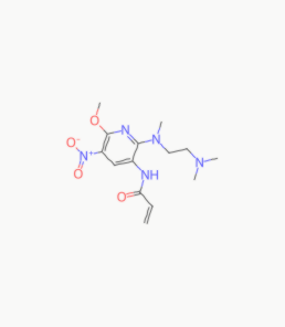 C=CC(=O)Nc1cc([N+](=O)[O-])c(OC)nc1N(C)CCN(C)C